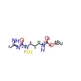 CC(N)=NC(=O)N(S)CCCNC(=O)OC(C)(C)C